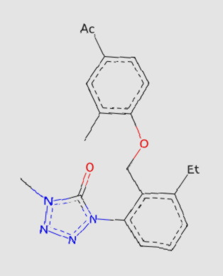 CCc1cccc(-n2nnn(C)c2=O)c1COc1ccc(C(C)=O)cc1C